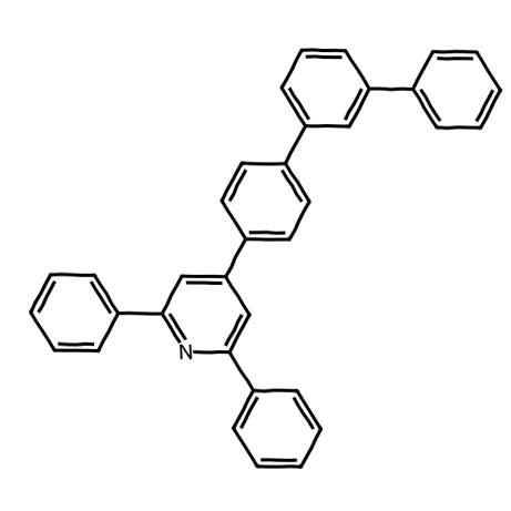 c1ccc(-c2cccc(-c3ccc(-c4cc(-c5ccccc5)nc(-c5ccccc5)c4)cc3)c2)cc1